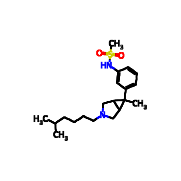 CC(C)CCCCN1CC2C(C1)C2(C)c1cccc(NS(C)(=O)=O)c1